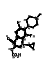 CN1CCN(c2c(F)cc3c(=O)c(OC(=O)O)cn(C4CC4)c3c2F)CC1